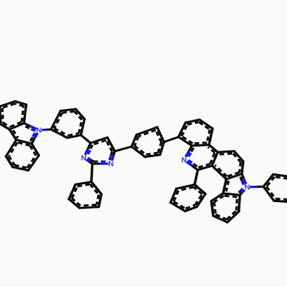 c1ccc(-c2nc(-c3ccc(-c4cccc5c4nc(-c4ccccc4)c4c5ccc5c4c4ccccc4n5-c4ccccc4)cc3)cc(-c3cccc(-n4c5ccccc5c5ccccc54)c3)n2)cc1